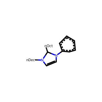 CCCCCCCCCCN1C=CN(c2ccccc2)C1CCCCCCCC